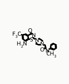 CN(C(=O)CN1CCN(c2nc(=O)c3cc(C(F)(F)F)cc(N)c3s2)CC1)c1ccccc1